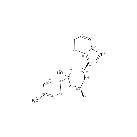 C[C@H]1CC(O)(c2ccc(C(F)(F)F)cc2)C[C@@H](c2cnn3ccccc23)N1